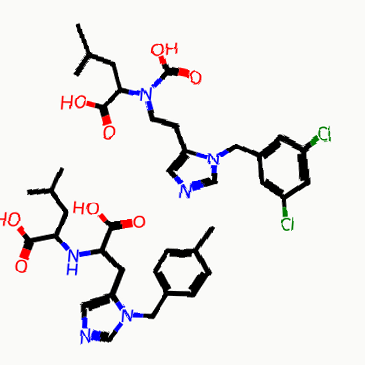 CC(C)CC(C(=O)O)N(CCc1cncn1Cc1cc(Cl)cc(Cl)c1)C(=O)O.Cc1ccc(Cn2cncc2CC(NC(CC(C)C)C(=O)O)C(=O)O)cc1